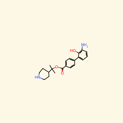 CC(C)(OC(=O)c1ccc(-c2cccc(N)c2O)cc1)C1CCNCC1